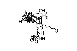 CC(C)C[C@H](NC(=O)[C@H](CCCNC(=N)N[N+](=O)[O-])NC(=O)CCCCC=O)B1O[C@@H]2C[C@@H]3C[C@@H](C3(C)C)[C@]2(C)O1